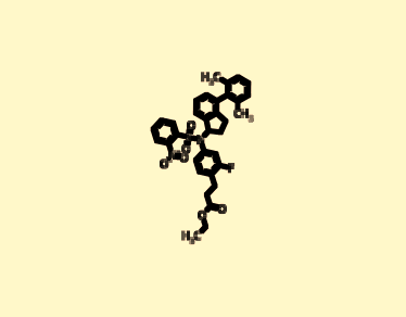 CCOC(=O)CCc1ccc(N(C2CCc3c(-c4c(C)cccc4C)cccc32)S(=O)(=O)c2ccccc2[N+](=O)[O-])cc1F